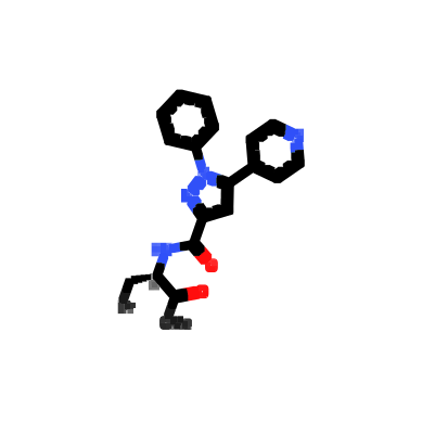 COC(=O)[C@H](CC(C)C)NC(=O)c1cc(-c2ccncc2)n(-c2ccccc2)n1